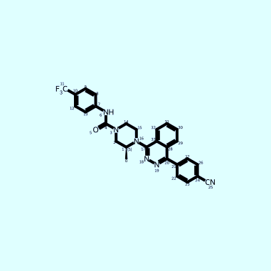 C[C@H]1CN(C(=O)Nc2ccc(C(F)(F)F)cc2)CCN1c1nnc(-c2ccc(C#N)cc2)c2ccccc12